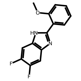 COc1ccccc1-c1nc2cc(F)c(F)cc2[nH]1